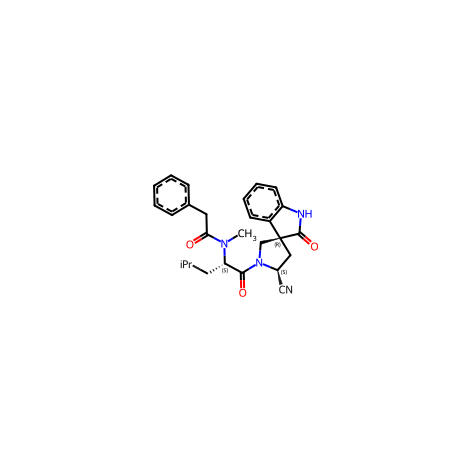 CC(C)C[C@@H](C(=O)N1C[C@]2(C[C@H]1C#N)C(=O)Nc1ccccc12)N(C)C(=O)Cc1ccccc1